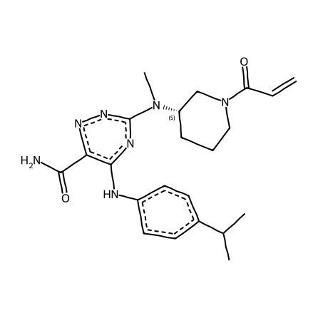 C=CC(=O)N1CCC[C@H](N(C)c2nnc(C(N)=O)c(Nc3ccc(C(C)C)cc3)n2)C1